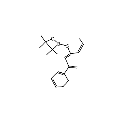 C=C(/C=C(\C=C/C)SB1OC(C)(C)C1(C)C)C1=CC=CCC1